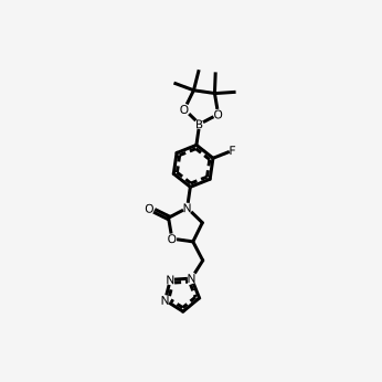 CC1(C)OB(c2ccc(N3CC(Cn4ccnn4)OC3=O)cc2F)OC1(C)C